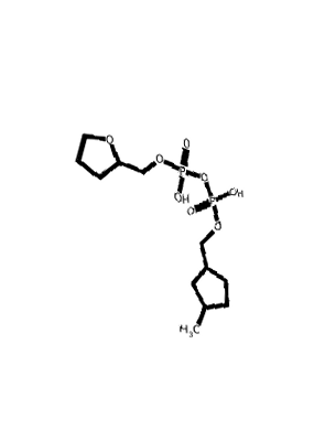 CC1CCC(COP(=O)(O)OP(=O)(O)OCC2CCCO2)C1